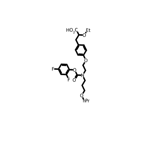 CCCOCCCN(CCOc1ccc(CC(OCC)C(=O)O)cc1)C(=O)Oc1ccc(F)cc1F